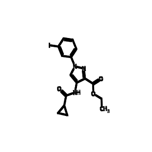 CCOC(=O)c1nn(-c2cccc(I)c2)cc1NC(=O)C1CC1